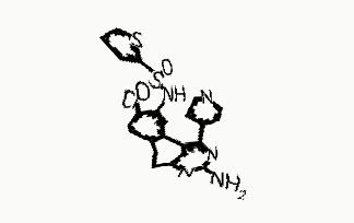 Nc1nc2c(c(-c3ccncc3)n1)-c1cc(NS(=O)(=O)c3cccs3)c(Cl)cc1CC2